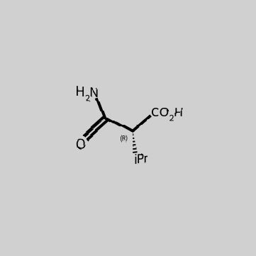 CC(C)[C@H](C(N)=O)C(=O)O